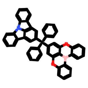 c1ccc([Si](c2ccccc2)(c2cc3c4c(c2)Oc2ccccc2B4c2ccccc2O3)c2cc3c4ccccc4n4c5ccccc5c(c2)c34)cc1